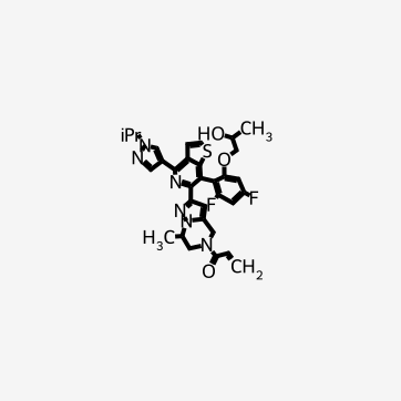 C=CC(=O)N1Cc2cc(-c3nc(-c4cnn(C(C)C)c4)c4ccsc4c3-c3c(F)cc(F)cc3OCC(C)O)nn2C(C)C1